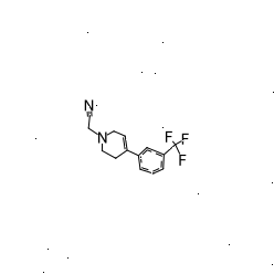 N#CCN1CC=C(c2cccc(C(F)(F)F)c2)CC1